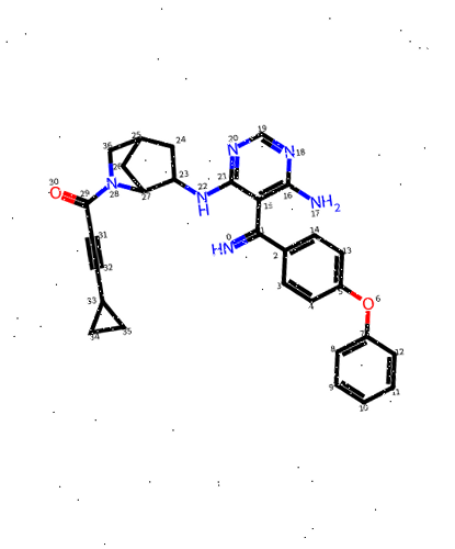 N=C(c1ccc(Oc2ccccc2)cc1)c1c(N)ncnc1NC1CC2CC1N(C(=O)C#CC1CC1)C2